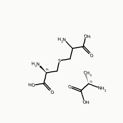 C[C@H](N)C(=O)O.NC(CSC[C@H](N)C(=O)O)C(=O)O